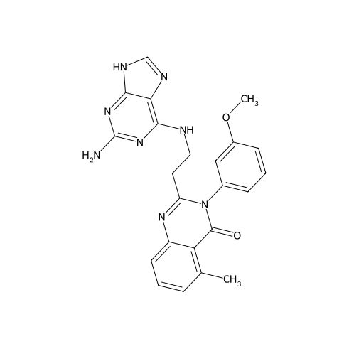 COc1cccc(-n2c(CCNc3nc(N)nc4[nH]cnc34)nc3cccc(C)c3c2=O)c1